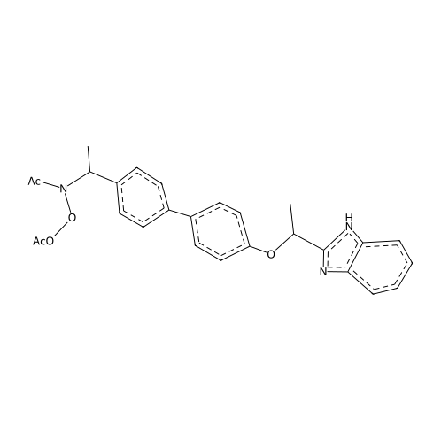 CC(=O)OON(C(C)=O)C(C)c1ccc(-c2ccc(OC(C)c3nc4ccccc4[nH]3)cc2)cc1